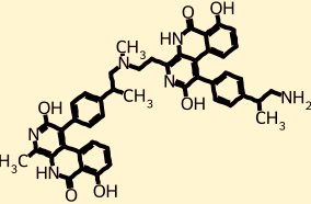 Cc1nc(O)c(-c2ccc(C(C)CN(C)CCc3nc(O)c(-c4ccc(C(C)CN)cc4)c4c3[nH]c(=O)c3c(O)cccc34)cc2)c2c1[nH]c(=O)c1c(O)cccc12